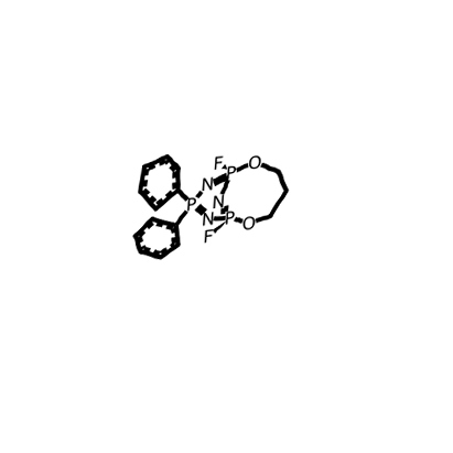 F[P@]12=NP(c3ccccc3)(c3ccccc3)=N[P@](F)(=N1)OCCCO2